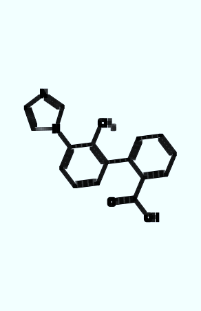 Cc1c(-c2ccccc2C(=O)O)cccc1-n1ccnc1